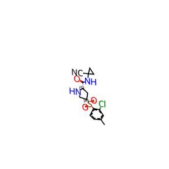 Cc1ccc(S(=O)(=O)[C@H]2CN[C@H](C(=O)NC3(C#N)CC3)C2)c(Cl)c1